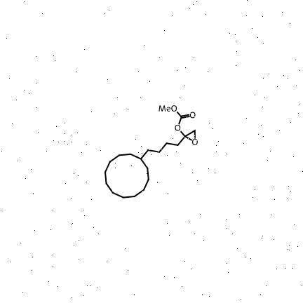 COC(=O)OC1(CCCCC2CCCCCCCCCCC2)CO1